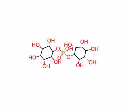 O=P(O)(OC1[C@@H](O)[C@H](O)C(O)[C@H](O)[C@@H]1O)OC1[C@H](O)[C@H](O)C(O)[C@H](O)[C@H]1O